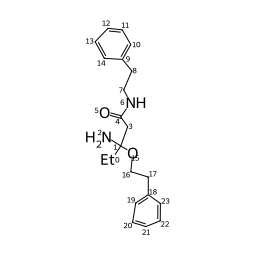 CCC(N)(CC(=O)NCCc1ccccc1)OCCc1ccccc1